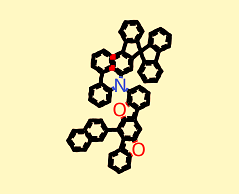 c1ccc(-c2ccccc2N(c2ccc3c(c2)C2(c4ccccc4-c4ccccc42)c2ccccc2-3)c2cccc3c2oc2c(-c4ccc5ccccc5c4)c4c(cc23)oc2ccccc24)cc1